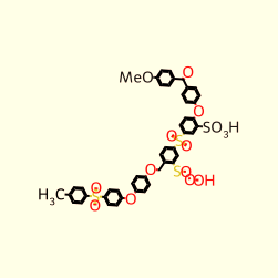 COc1ccc(C(=O)c2ccc(Oc3ccc(S(=O)(=O)c4ccc(COc5ccc(Oc6ccc(S(=O)(=O)c7ccc(C)cc7)cc6)cc5)c(SOOO)c4)cc3S(=O)(=O)O)cc2)cc1